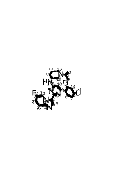 C=C(COc1cccc(Cl)c1)N1CCC[C@@H](Nc2ccnc(-c3cnc4ccc(F)cn34)n2)C1